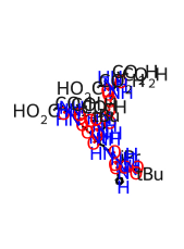 CC(C)CC(NC(=O)C(Cc1ccccc1)NC(=O)CNC(=O)OC(C)(C)C)C(=O)NCC(=O)NCCCCC(NC(=O)NC(CCC(=O)NCCOCCOCC(=O)NC(CCC(=O)NC(CCC(=O)O)C(=O)O)C(=O)NC(CCC(=O)O)C(=O)O)C(=O)NCC(=O)OC(C)(C)C)C(=O)NCCOCCOCC(=O)NC(CCC(=O)NC(CCC(=O)O)C(=O)O)C(=O)NC(CCC(=O)O)C(=O)O